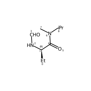 CC[C@@H](NC=O)C(=O)N(C)C(C)C